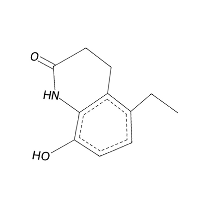 CCc1ccc(O)c2c1CCC(=O)N2